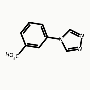 O=C(O)c1cccc(-n2cnnc2)c1